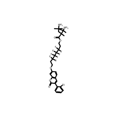 CCc1ccccc1-c1cc2ccc(OCCC(F)(F)C(F)(F)C(F)(F)C(F)(F)CCOC(=O)C(C)(CC(C)(C)N)C(C)(C)N)cc2oc1=O